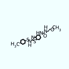 COCCNC(=O)Nc1ccc2sc(NSc3ccc(C)cc3)nc2c1